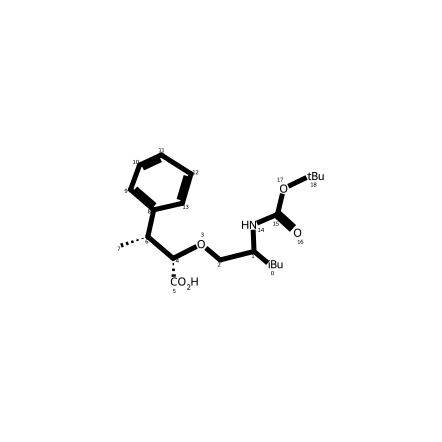 CCC(C)C(CO[C@H](C(=O)O)[C@H](C)c1ccccc1)NC(=O)OC(C)(C)C